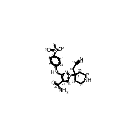 CS(=O)(=O)c1ccc(Nc2nn(C3(CC#N)CCNCC3)cc2C(N)=O)cc1